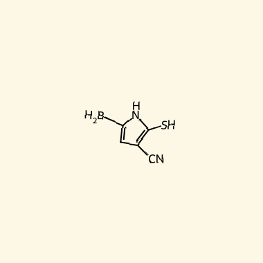 Bc1cc(C#N)c(S)[nH]1